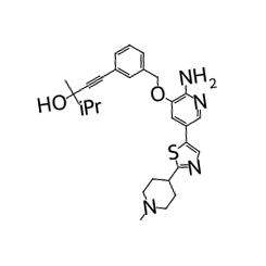 CC(C)C(C)(O)C#Cc1cccc(COc2cc(-c3cnc(C4CCN(C)CC4)s3)cnc2N)c1